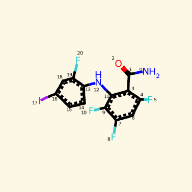 NC(=O)c1c(F)cc(F)c(F)c1Nc1ccc(I)cc1F